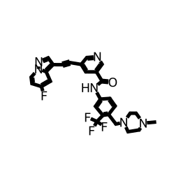 CN1CCN(Cc2ccc(NC(=O)c3cncc(C#Cc4cnn5ccc(F)cc45)c3)cc2C(F)(F)F)CC1